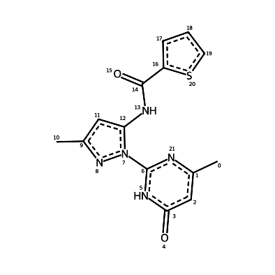 Cc1cc(=O)[nH]c(-n2nc(C)cc2NC(=O)c2cccs2)n1